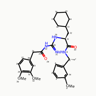 COc1cccc([C@@H](C)NC(=O)[C@H](CC2CCCCC2)NC(=N)NC(=O)Cc2ccc(OC)c(OC)c2)c1